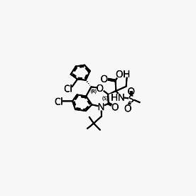 CCC(NS(C)(=O)=O)(C(=O)O)[C@@H]1O[C@@H](c2ccccc2Cl)c2cc(Cl)ccc2N(CC(C)(C)C)C1=O